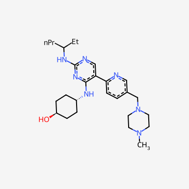 CCCC(CC)Nc1ncc(-c2ccc(CN3CCN(C)CC3)cn2)c(N[C@H]2CC[C@H](O)CC2)n1